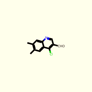 Cc1cc2ncc(C=O)c(Cl)c2cc1C